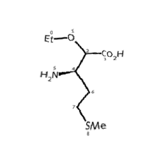 CCOC(C(=O)O)[C@H](N)CCSC